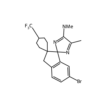 CNC1=NC2(N=C1C)c1cc(Br)ccc1CC21CCC(C(F)(F)F)CC1